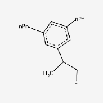 [CH2]C(CF)c1cc(CCC)cc(CCC)c1